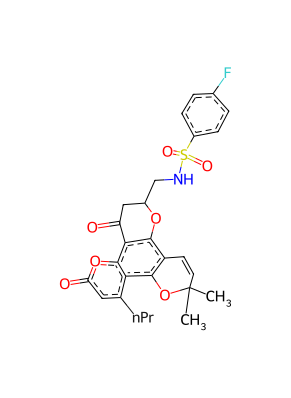 CCCc1cc(=O)oc2c3c(c4c(c12)OC(C)(C)C=C4)OC(CNS(=O)(=O)c1ccc(F)cc1)CC3=O